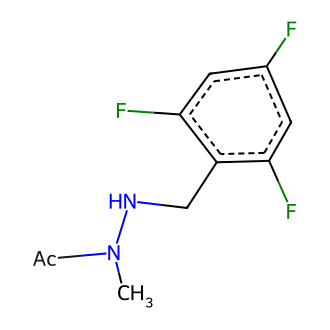 CC(=O)N(C)NCc1c(F)cc(F)cc1F